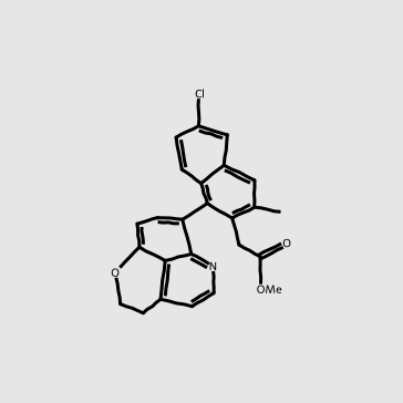 COC(=O)Cc1c(C)cc2cc(Cl)ccc2c1-c1ccc2c3c(ccnc13)CCO2